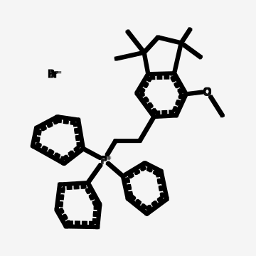 COc1cc(CC[P+](c2ccccc2)(c2ccccc2)c2ccccc2)cc2c1C(C)(C)CC2(C)C.[Br-]